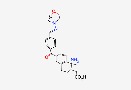 CC1(N)c2ccc(C(=O)c3ccc(C=NN4CCOCC4)cc3)cc2CCC1CC(=O)O